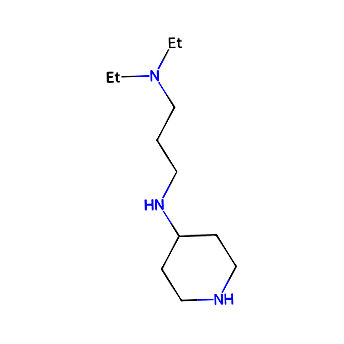 CCN(CC)CCCNC1CCNCC1